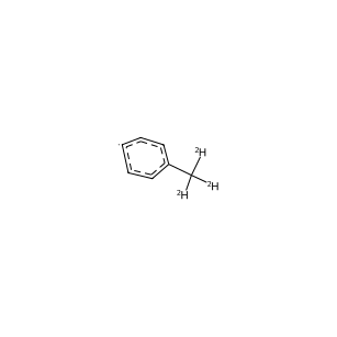 [2H]C([2H])([2H])c1cc[c]cc1